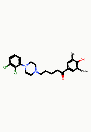 COc1cc(C(=O)CCCCN2CCN(c3cccc(Cl)c3Cl)CC2)cc([N+](=O)[O-])c1O